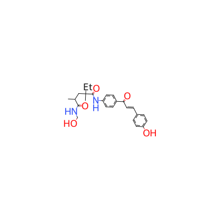 CCC(C)(CC(C)C(=O)NCO)C(=O)Nc1ccc(C(=O)/C=C/c2ccc(O)cc2)cc1